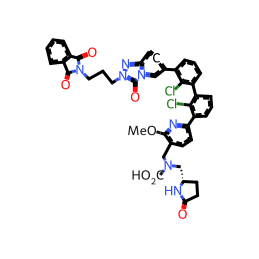 COc1nc(-c2cccc(-c3cccc(-c4ccc5nn(CCCN6C(=O)c7ccccc7C6=O)c(=O)n5c4)c3Cl)c2Cl)ccc1CN(C[C@@H]1CCC(=O)N1)C(=O)O